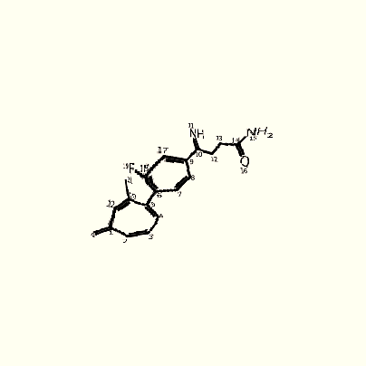 C=C1C=CC=C(c2ccc(C(=N)CCC(N)=O)cc2F)C(C)=C1